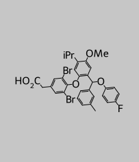 COc1cc(C(Oc2ccc(F)cc2)c2cccc(C)c2)c(Oc2c(Br)cc(CC(=O)O)cc2Br)cc1C(C)C